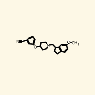 COc1ccc2c(c1)C(CN1CCC(Oc3cccc(C#N)c3)CC1)CC2